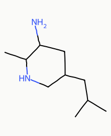 CC(C)CC1CNC(C)C(N)C1